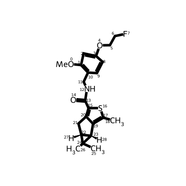 COc1cc(OCCF)ccc1CNC(=O)c1sc(C)c2c1C[C@@H]1[C@H]2C1(C)C